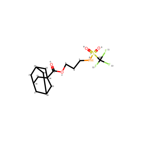 O=C(OCCCPS(=O)(=O)C(F)(F)F)C12CC3CC(CC(C3)C1)C2